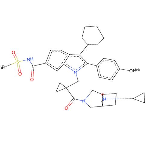 COc1ccc(-c2c(C3CCCCC3)c3ccc(C(=O)NS(=O)(=O)C(C)C)cc3n2CC2(C(=O)N3CC45CCC4(C3)CN(C3CC3)C5)CC2)cc1